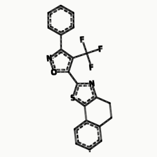 FC(F)(F)c1c(-c2ccccc2)noc1-c1nc2c(s1)-c1cc[c]cc1CC2